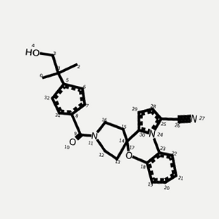 CC(C)(CO)c1ccc(C(=O)N2CCC3(CC2)Oc2ccccc2-n2c(C#N)ccc23)cc1